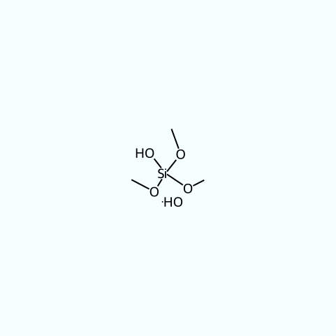 CO[Si](O)(OC)OC.[OH]